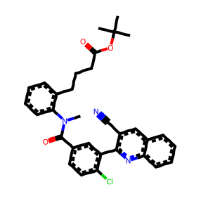 CN(C(=O)c1ccc(Cl)c(-c2nc3ccccc3cc2C#N)c1)c1ccccc1CCCC(=O)OC(C)(C)C